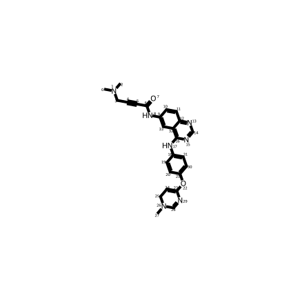 CN(C)CC#CC(=O)Nc1ccc2ncnc(Nc3ccc(OC4=CCN(C)C=N4)cc3)c2c1